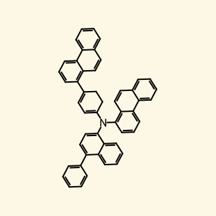 C1=C(c2cccc3c2ccc2ccccc23)CCC(N(c2ccc(-c3ccccc3)c3ccccc23)c2cccc3c2ccc2ccccc23)=C1